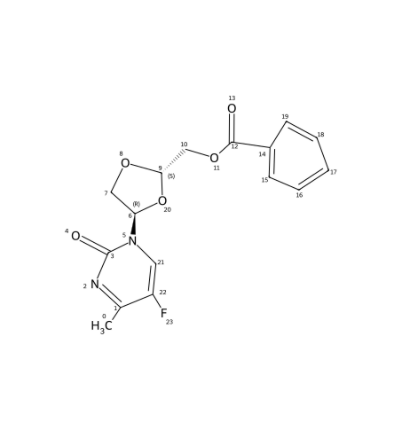 Cc1nc(=O)n([C@H]2CO[C@H](COC(=O)c3ccccc3)O2)cc1F